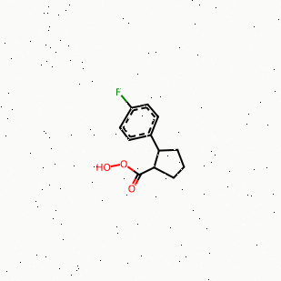 O=C(OO)C1CCCC1c1ccc(F)cc1